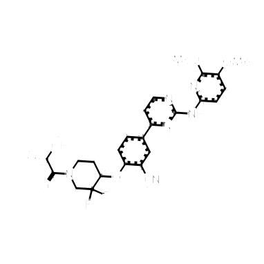 COc1ccc(Nc2nccc(-c3ccc(OC4CCN(C(=O)[C@H](C)O)CC4(F)F)c(C#N)c3)n2)nc1OC